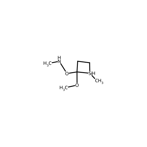 CNOC1(OC)CC[SiH]1C